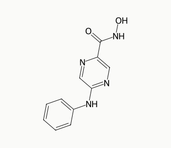 O=C(NO)c1cnc(Nc2ccccc2)cn1